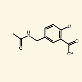 CC(=O)NCc1ccc(Cl)c(C(=O)O)c1